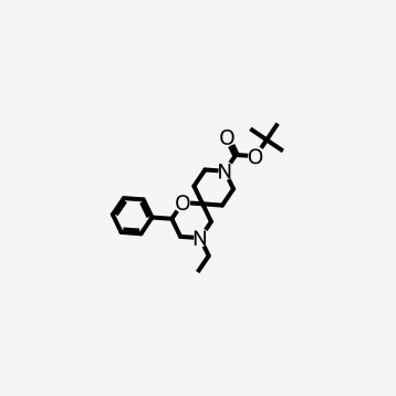 CCN1CC(c2ccccc2)OC2(CCN(C(=O)OC(C)(C)C)CC2)C1